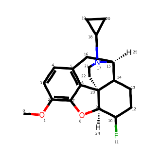 COc1ccc2c3c1O[C@@H]1C(F)CCC4[C@H](C2)N(C2CC2)CC[C@]341